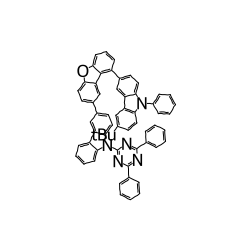 CC(C)(C)c1ccc2c(c1)c1cc(-c3cccc4oc5ccc(-c6ccc7c(c6)c6ccccc6n7-c6nc(-c7ccccc7)nc(-c7ccccc7)n6)cc5c34)ccc1n2-c1ccccc1